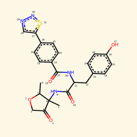 CC1OCC(=O)C1(C)NC(=O)C(Cc1ccc(O)cc1)NC(=O)c1ccc(-c2cnns2)cc1